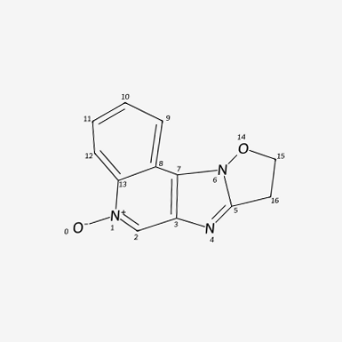 [O-][n+]1cc2nc3n(c2c2ccccc21)OCC3